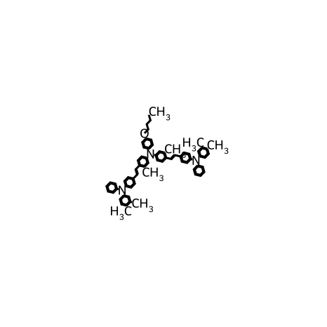 CCCCCOc1ccc(N(c2ccc(/C=C/c3ccc(N(c4ccccc4)c4ccc(C)c(C)c4)cc3)c(C)c2)c2ccc(/C=C/c3ccc(N(c4ccccc4)c4ccc(C)c(C)c4)cc3)c(C)c2)cc1